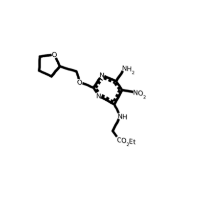 CCOC(=O)CNc1nc(OCC2CCCO2)nc(N)c1[N+](=O)[O-]